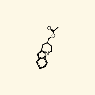 CC(=O)OC[C@H]1CCn2c(cc3ccccc32)C1